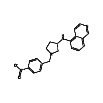 O=[N+]([O-])c1ccc(CN2CCC(Nc3cccc4cnccc34)C2)cc1